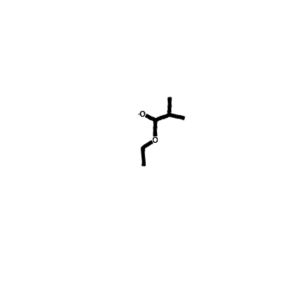 CCOC([O])C(C)C